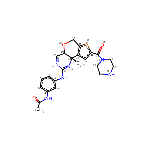 CC(=O)Nc1cccc(NC2=N[C@@]3(C)c4cc(C(=O)N5CCNCC5)sc4COC3C=N2)c1